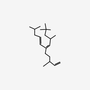 C=CC(C)CCC(C=CCC(C)C)=CC(C)CC(C)(C)C